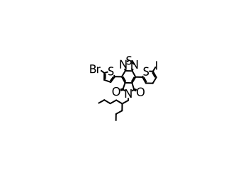 CCCCC(CCC)CN1C(=O)c2c(c(-c3ccc(Br)s3)c3nsnc3c2C2=CCC=C(I)S2)C1=O